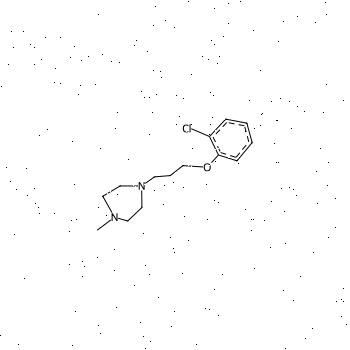 CN1CCN(CCCOc2ccccc2Cl)CC1